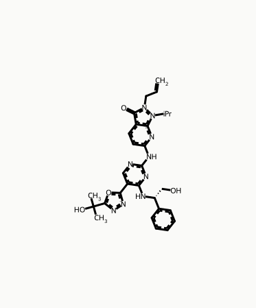 C=CCn1c(=O)c2ccc(Nc3ncc(-c4nnc(C(C)(C)O)o4)c(N[C@H](CO)c4ccccc4)n3)nc2n1C(C)C